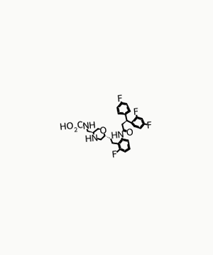 O=C(O)NC[C@H]1CO[C@H](CCc2c(F)cccc2NC(=O)C[C@@H](c2ccc(F)cc2)c2ccc(F)cc2F)CN1